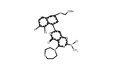 CCc1c(F)ccc2cc(OCOC)cc(-c3cc4nc([S+](C)[O-])nc(N5CCCOCC5)c4c(=O)o3)c12